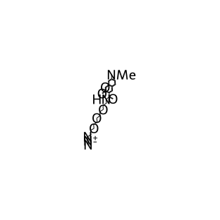 CNc1ccc2cc(C(=O)NCCOCCOCCOCCN=[N+]=[N-])c(=O)oc2c1